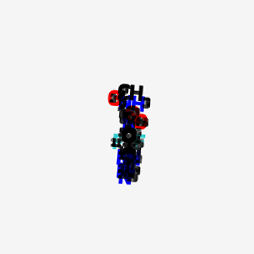 CC(=O)NC[C@H]1CN(c2cc(F)c(-c3cnc(-n4ccnn4)nc3)c(F)c2)C(=O)O1